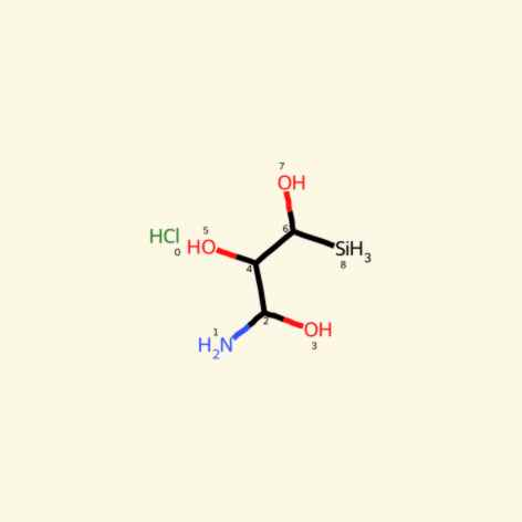 Cl.NC(O)C(O)C(O)[SiH3]